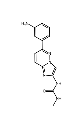 CNC(=O)Nc1cn2nc(-c3cccc(N)c3)ccc2n1